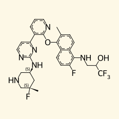 Cc1ccc2c(NCC(O)C(F)(F)F)c(F)ccc2c1Oc1ncccc1-c1ccnc(N[C@@H]2CNC[C@@](C)(F)C2)n1